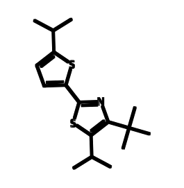 CC(C)c1ccc(-c2nc(C(C)(C)C)c(C(C)C)s2)s1